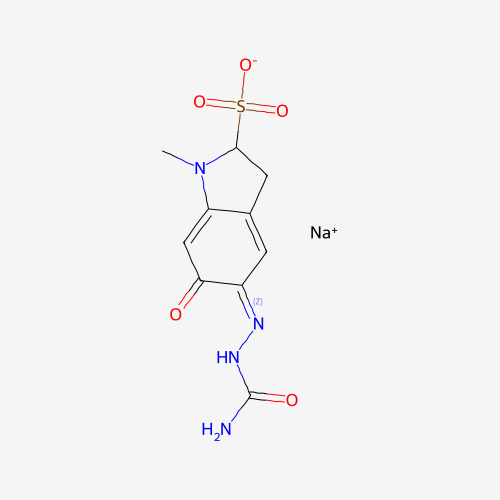 CN1C2=CC(=O)/C(=N\NC(N)=O)C=C2CC1S(=O)(=O)[O-].[Na+]